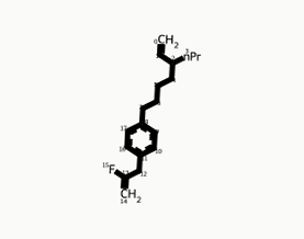 C=CC(CCC)CCCCc1ccc(CC(=C)F)cc1